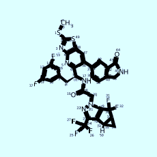 CSc1nc2nc([C@H](Cc3cc(F)cc(F)c3)NC(=O)Cn3nc(C(F)(F)F)c4c3C(F)(F)C3C[C@H]43)c(-c3ccc4c(c3)C(=O)NC4)cc2s1